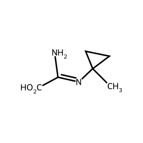 CC1(N=C(N)C(=O)O)CC1